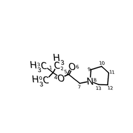 CC(C)(C)OC(=O)CN1CCCCC1